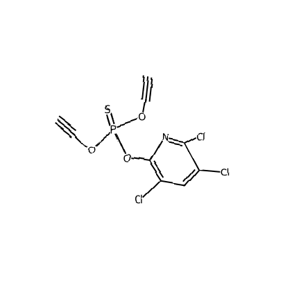 C#COP(=S)(OC#C)Oc1nc(Cl)c(Cl)cc1Cl